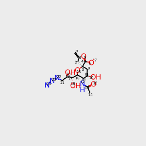 C=CC[C@]1(C(=O)OC)C[C@@H](O)[C@@H](NC(C)=O)C([C@H](O)[C@H](O)CN=[N+]=[N-])O1